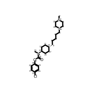 CN1CCN(CCCCC[C@H]2CC[C@H](N(C)C(=O)Oc3ccc(Cl)cc3)CC2)CC1